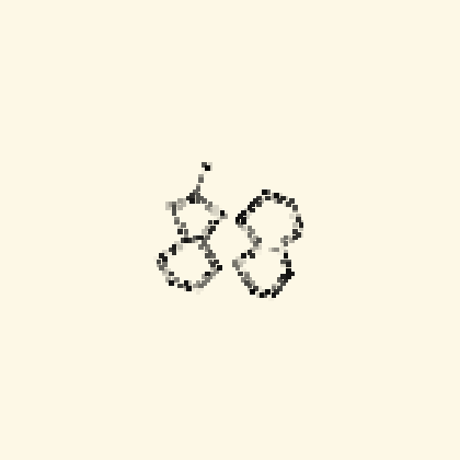 Sc1nc2ccccc2s1.c1ccc2ncccc2c1